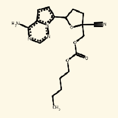 CCCCCOC(=O)OCC1(C#N)CCC(c2ccc3c(N)ncnn23)O1